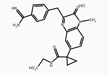 Cl.Cn1c(=O)c(Cc2ccc(C(=N)N)cc2)nc2cc(C3(C(=O)NCC(=O)O)CC3)ccc21